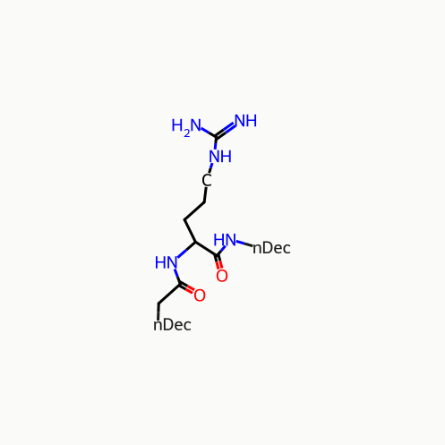 CCCCCCCCCCCC(=O)NC(CCCNC(=N)N)C(=O)NCCCCCCCCCC